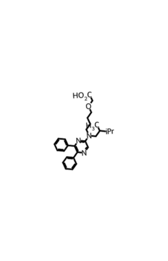 CC(C)C(C)CN(CCCCOCC(=O)O)c1cnc(-c2ccccc2)c(-c2ccccc2)n1